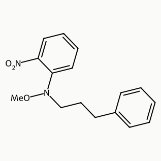 CON(CCCc1ccccc1)c1ccccc1[N+](=O)[O-]